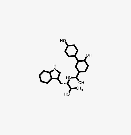 CC(O)[C@H](CC1CNC2CCCCC12)NC(O)C1CCC(O)C(C2CCC(O)CC2)C1